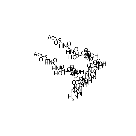 CC(=O)CC(=O)SCCNC(=O)CCNC(=O)C(O)C(C)(C)COP(=O)(O)OP(=O)(O)OC[C@H]1O[C@@H](n2cnc3c(N)ncnc32)[C@H](O)[C@@H]1OP(=O)(O)O.CC(=O)CC(=O)SCCNC(=O)CCNC(=O)C(O)C(C)(C)COP(=O)(O)OP(=O)(O)OC[C@H]1O[C@@H](n2cnc3c(N)ncnc32)[C@H](O)[C@@H]1OP(=O)(O)O